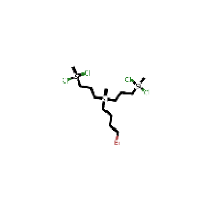 C[Si](Cl)(Cl)CCC[Si](C)(CCCCBr)CCC[Si](C)(Cl)Cl